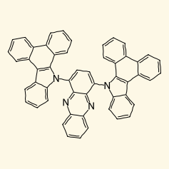 c1ccc2nc3c(-n4c5ccccc5c5c6ccccc6c6ccccc6c54)ccc(-n4c5ccccc5c5c6ccccc6c6ccccc6c54)c3nc2c1